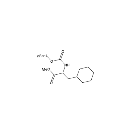 CCCCCOC(=O)NC(CC1CCCCC1)C(=O)OC